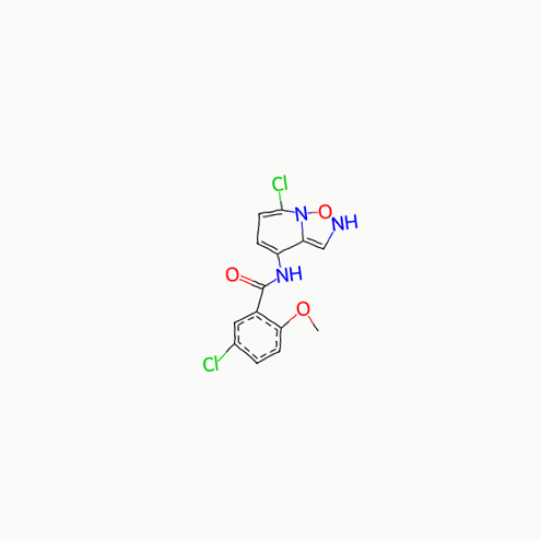 COc1ccc(Cl)cc1C(=O)NC1=CC=C(Cl)N2ONC=C12